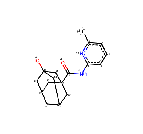 Cc1cccc(NC(=O)C23CC4CC(CC(O)(C4)C2)C3)n1